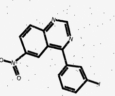 O=[N+]([O-])c1ccc2ncnc(-c3cccc(I)c3)c2c1